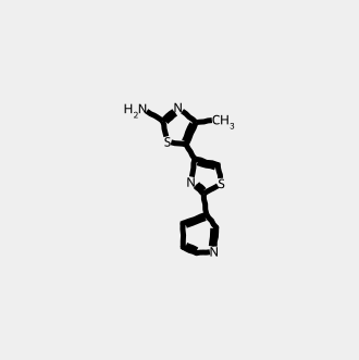 Cc1nc(N)sc1-c1csc(-c2cccnc2)n1